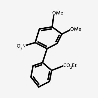 CCOC(=O)c1ccccc1-c1cc(OC)c(OC)cc1[N+](=O)[O-]